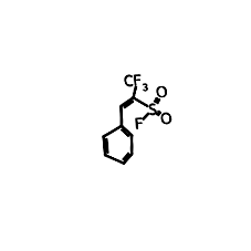 O=S(=O)(F)C(=Cc1ccccc1)C(F)(F)F